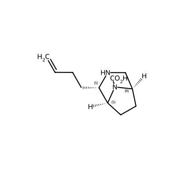 C=CCC[C@@H]1NC[C@H]2CC[C@@H]1N2C(=O)O